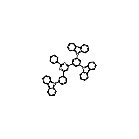 c1ccc(-c2nc(-c3cccc(-n4c5ccccc5c5ccccc54)c3)cc(-c3cc(-n4c5ccccc5c5ccccc54)cc(-n4c5ccccc5c5ccccc54)c3)n2)cc1